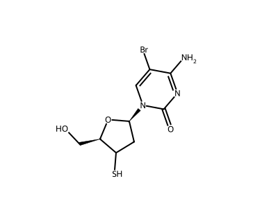 Nc1nc(=O)n([C@H]2CC(S)[C@@H](CO)O2)cc1Br